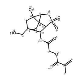 C=C(C)C(=O)OCC(=O)OC1C2C34OC1(CO)CC3(O)C4OS2(=O)=O